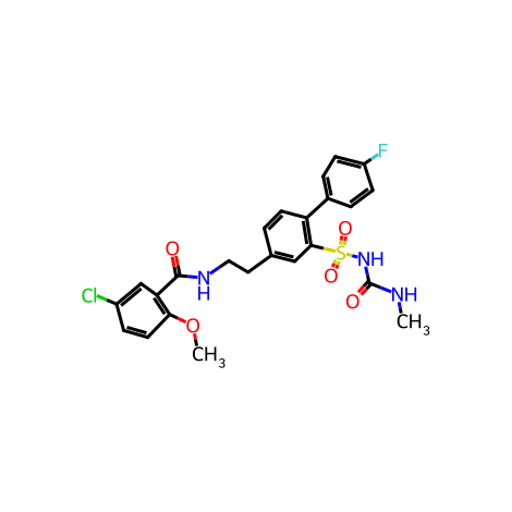 CNC(=O)NS(=O)(=O)c1cc(CCNC(=O)c2cc(Cl)ccc2OC)ccc1-c1ccc(F)cc1